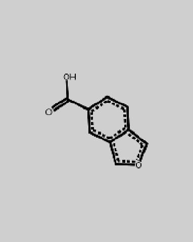 O=C(O)c1ccc2cocc2c1